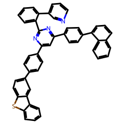 c1cncc(-c2ccccc2-c2nc(-c3ccc(-c4ccc5sc6ccccc6c5c4)cc3)cc(-c3ccc(-c4cccc5ccccc45)cc3)n2)c1